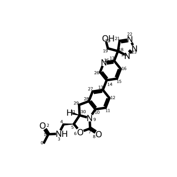 CC(=O)NC[C@@H]1OC(=O)N2c3ccc(-c4ccc(C5(CO)C=NN=N5)nc4)cc3C[C@@H]12